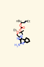 CC/C=C/C(CCCC)OC(=O)OC(C)(C)Cn1c(COCC)nc2c(N)nc3ccccc3c21